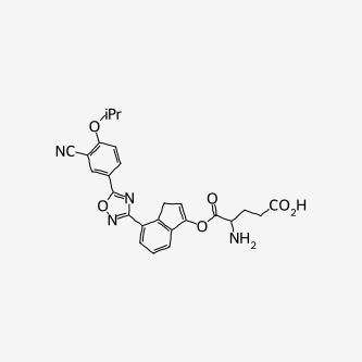 CC(C)Oc1ccc(-c2nc(-c3cccc4c3CC=C4OC(=O)C(N)CCC(=O)O)no2)cc1C#N